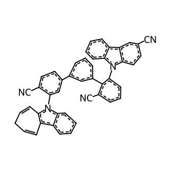 N#Cc1ccc2c(c1)c1ccccc1n2-c1cccc(C#N)c1-c1cccc(-c2ccc(C#N)c(-n3c4c(c5ccccc53)C=CCC=C4)c2)c1